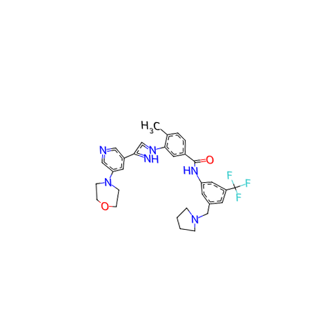 Cc1ccc(C(=O)Nc2cc(CN3CCCC3)cc(C(F)(F)F)c2)cc1-n1cc(-c2cncc(N3CCOCC3)c2)[nH]1